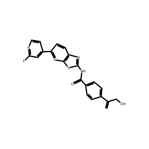 C=C(CO)c1ccc(C(=O)Nc2nc3ccc(-c4ccnc(F)c4)nc3s2)cc1